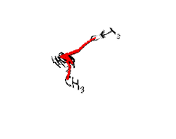 CCCCCCCCCC=CC=CC=CC=CC=CC=CC(=O)O[C@@H](CO)C(OP(=O)(O)OCCN)C(=O)CCCCCCCCCCCCCCC